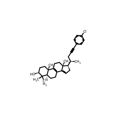 C[C@H](CC#Cc1ccc(Cl)cc1)[C@H]1CC=C2C3=C(CC[C@@]21C)[C@@]1(C)CC[C@H](O)C(C)(C)[C@@H]1CC3